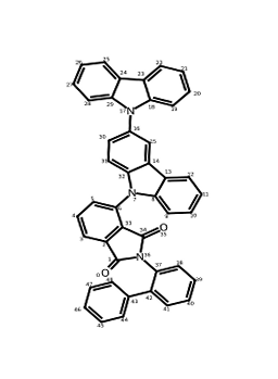 O=C1c2cccc(-n3c4ccccc4c4cc(-n5c6ccccc6c6ccccc65)ccc43)c2C(=O)N1c1ccccc1-c1ccccc1